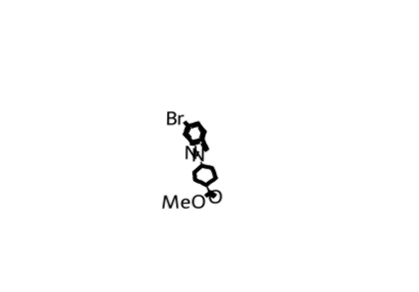 COC(=O)[C@H]1CC[C@H](n2cc3ccc(Br)cc3n2)CC1